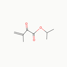 C=C(C)C(=O)C(=O)OC(C)C